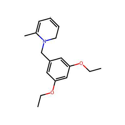 CCOc1cc(CN2CC=[C]C=C2C)cc(OCC)c1